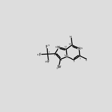 Cc1cn2c(Br)c(C(F)(F)F)nc2c(C)n1